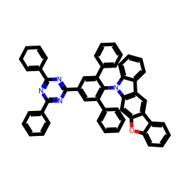 C1=CC(c2nc(-c3ccccc3)nc(-c3cc(-c4ccccc4)c(-n4c5ccccc5c5cc6c(cc54)oc4ccccc46)c(-c4ccccc4)c3)n2)=CCC1